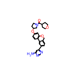 Nc1cc(-c2ccc3c(c2)-c2ccc(O[C@H]4CCN(C(=O)C5CCOCC5)C4)cc2OC3)ncn1